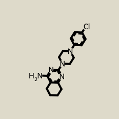 Nc1nc(N2CCN(c3ccc(Cl)cc3)CC2)nc2c1CCCC2